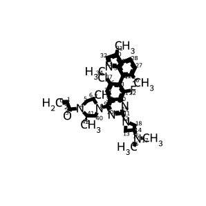 C=CC(=O)N1C[C@H](C)N(c2nc(N3CC(N(C)C)C3)nc3c(F)c(-c4c(C)ccc5c(C)cn(C)c45)c(Cl)cc23)C[C@H]1C